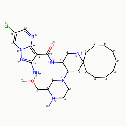 COCC1CN(C2CC3(CCCCCCCCC3)NCC2NC(=O)c2c(N)nn3cc(Cl)cnc23)CCN1C